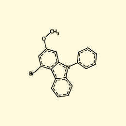 COc1cc(Br)c2c3ccccc3n(-c3ccccc3)c2c1